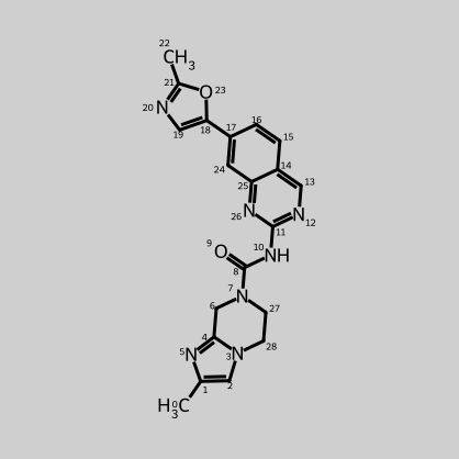 Cc1cn2c(n1)CN(C(=O)Nc1ncc3ccc(-c4cnc(C)o4)cc3n1)CC2